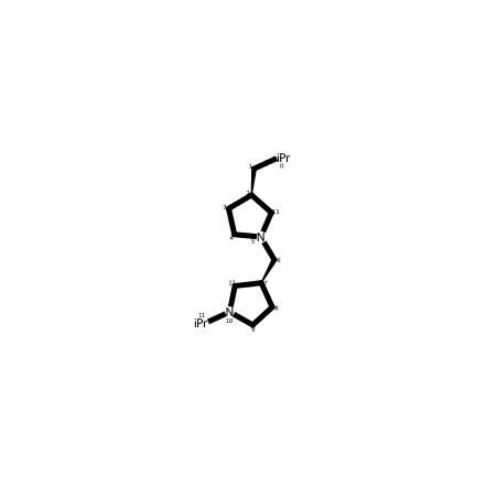 CC(C)C[C@@H]1CCN(C[C@H]2CCN(C(C)C)C2)C1